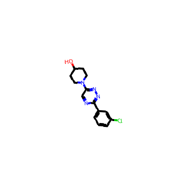 OC1CCN(c2cnc(-c3cccc(Cl)c3)nn2)CC1